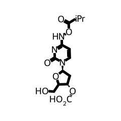 CC(C)C(=O)ONc1ccn([C@H]2C[C@H](OC(=O)O)C(CO)O2)c(=O)n1